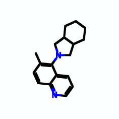 Cc1ccc2ncccc2c1N1CC2CCCCC2C1